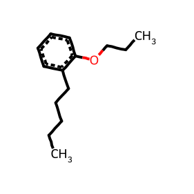 CCCCCc1ccccc1OCCC